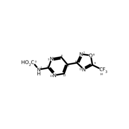 O=C(O)Nc1ncc(-c2noc(C(F)(F)F)n2)cn1